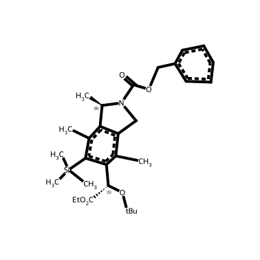 CCOC(=O)[C@@H](OC(C)(C)C)c1c(C)c2c(c(C)c1[Si](C)(C)C)[C@@H](C)N(C(=O)OCc1ccccc1)C2